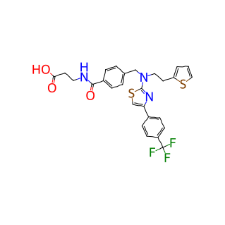 O=C(O)CCNC(=O)c1ccc(CN(CCc2cccs2)c2nc(-c3ccc(C(F)(F)F)cc3)cs2)cc1